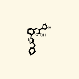 O=C(O)[C@@H](Cc1cccc(-n2cc(Cc3ccccc3)nn2)c1)[C@H]1CCNC1